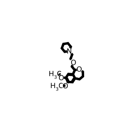 COc1cc2c(cc1OC)C(COCCN1CCCCC1)OCCC2